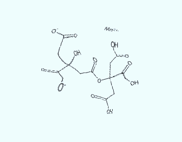 O=C([O-])CC(O)(CC(=O)OC(CC(=O)O)(CC(=O)O)C(=O)O)C(=O)[O-].[Mn+2]